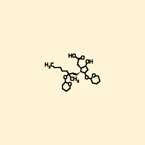 CCCCCC(C)(C=C[C@@H]1[C@@H](CC(=O)O)[C@@H](O)C[C@H]1OC1CCCCO1)OC1CCCCO1